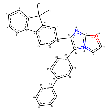 CC1(C)c2ccccc2-c2ccc(-c3nc4occn4c3-c3ccc(-c4ccccc4)cc3)cc21